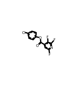 O=C(Oc1ccc(Cl)cc1)c1cc(F)nc(F)c1F